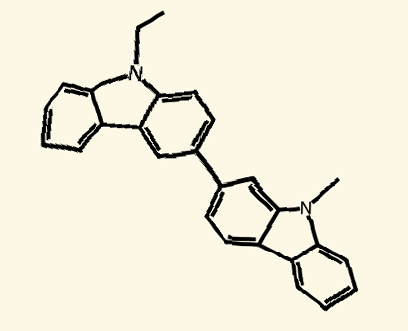 CCn1c2ccccc2c2cc(-c3ccc4c5ccccc5n(C)c4c3)ccc21